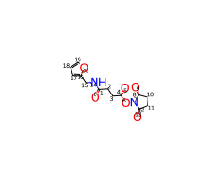 O=C(CCC(=O)ON1C(=O)CCC1=O)NCc1ccco1